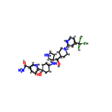 NC(=O)c1ccc(C2(O)CCC(N[C@@]3(C(=O)C4CCN(c5cc(C(F)(F)F)ccn5)CC4)CCNC3)CC2)nc1